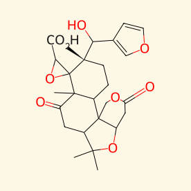 CC1(C)OC2CC(=O)OCC23C1CC(=O)C1(C)C3CC[C@@](C)(C(O)c2ccoc2)C12OC2C(=O)O